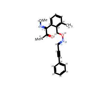 CNC(=O)/C(=N/OC)c1cccc(C)c1CO/N=C/C#Cc1ccccc1